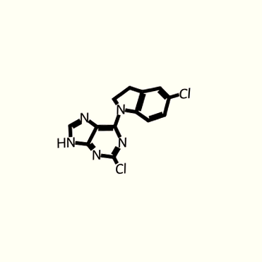 Clc1ccc2c(c1)CCN2c1nc(Cl)nc2[nH]cnc12